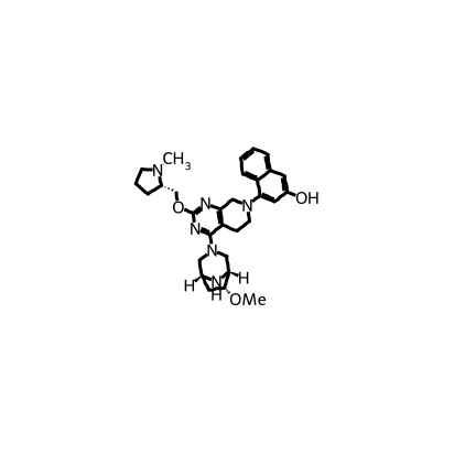 CO[C@@H]1C[C@@H]2CN(c3nc(OC[C@@H]4CCCN4C)nc4c3CCN(c3cc(O)cc5ccccc35)C4)C[C@H]1N2